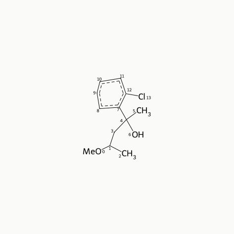 COC(C)CC(C)(O)c1ccccc1Cl